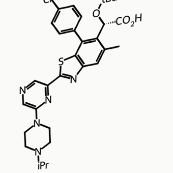 Cc1cc2nc(-c3cncc(N4CCN(C(C)C)CC4)n3)sc2c(-c2ccc(Cl)cc2)c1[C@H](OC(C)(C)C)C(=O)O